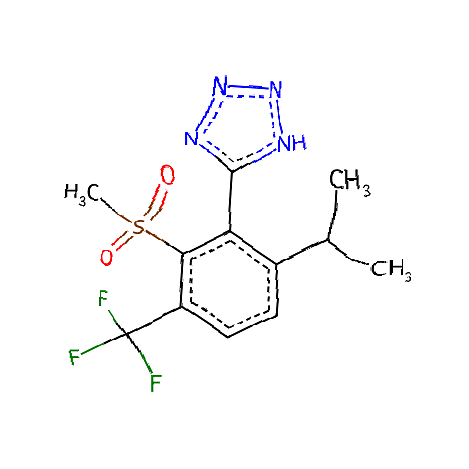 CC(C)c1ccc(C(F)(F)F)c(S(C)(=O)=O)c1-c1nnn[nH]1